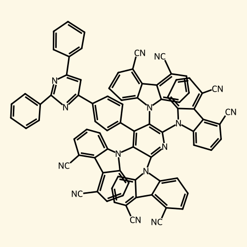 N#Cc1cccc2c1c1c(C#N)cccc1n2-c1nc(-n2c3cccc(C#N)c3c3c(C#N)cccc32)c(-n2c3cccc(C#N)c3c3c(C#N)cccc32)c(-c2ccc(-c3cc(-c4ccccc4)nc(-c4ccccc4)n3)cc2)c1-n1c2cccc(C#N)c2c2c(C#N)cccc21